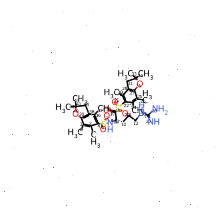 Cc1c(C)c(S(=O)(=O)N[C@@H](CCCNC(=N)N)C(=O)S(=O)(=O)c2c(C)c(C)c3c(c2C)CC(C)(C)O3)c(C)c2c1OC(C)(C)C2